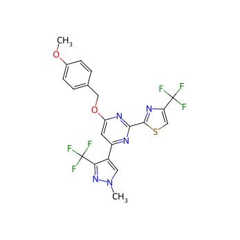 COc1ccc(COc2cc(-c3cn(C)nc3C(F)(F)F)nc(-c3nc(C(F)(F)F)cs3)n2)cc1